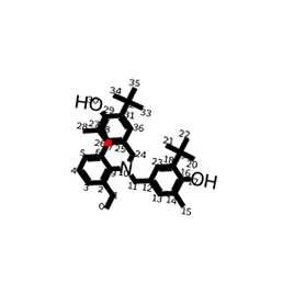 CCc1cccc(CC)c1N(Cc1cc(C)c(O)c(C(C)(C)C)c1)Cc1cc(C)c(O)c(C(C)(C)C)c1